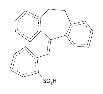 O=S(=O)(O)c1ccccc1C=C1c2ccccc2CCc2ccccc21